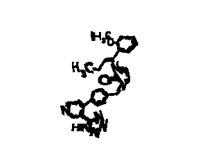 CCCC(c1ccccc1OC)n1ccn(Cc2ccc(-c3ccncc3-c3nnn[nH]3)cc2)c1=O